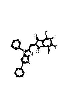 O=C1C(=Cc2nc3sc(-c4ccccc4)cc3n2-c2ccccc2)C(=O)c2c(F)c(F)c(F)c(F)c21